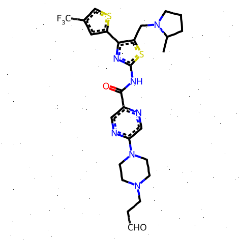 CC1CCCN1Cc1sc(NC(=O)c2cnc(N3CCN(CCC=O)CC3)cn2)nc1-c1cc(C(F)(F)F)cs1